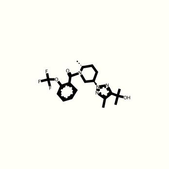 Cc1nn([C@@H]2CC[C@@H](C)N(C(=O)c3ccccc3OC(F)(F)F)C2)nc1C(C)(C)O